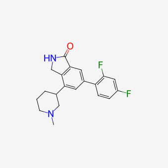 CN1CCCC(c2cc(-c3ccc(F)cc3F)cc3c2CNC3=O)C1